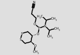 CO[C@H]1CSSC[C@@H]1OP(OCCC#N)N(C(C)C)C(C)C